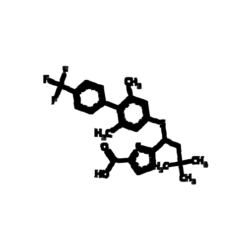 Cc1cc(SC(CC(C)(C)C)c2ccc(C(=O)O)s2)cc(C)c1-c1ccc(C(F)(F)F)cc1